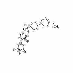 CCC1CCCC(C2CCC(C(F)(F)Oc3ccc(-c4cc(F)c(F)c(F)c4)c(F)c3)CC2)CC1